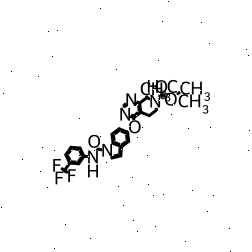 CC1c2ncnc(Oc3ccc4c(ccn4C(=O)Nc4cccc(C(F)(F)F)c4)c3)c2CCN1C(=O)OC(C)(C)C